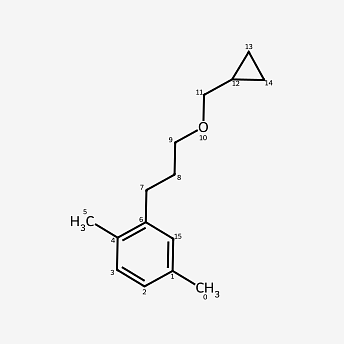 Cc1ccc(C)c(CCCOCC2CC2)c1